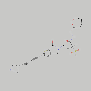 C[C@@](CCN1Cc2cc(C#CC#CC3CNC3)sc2C1=O)(C(=O)NOC1CCCCO1)S(C)(=O)=O